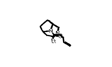 C=CCN1CCC2CCC(C1)N2C(=O)CC